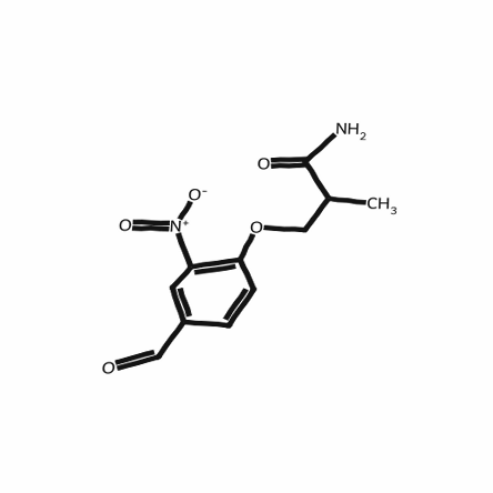 CC(COc1ccc(C=O)cc1[N+](=O)[O-])C(N)=O